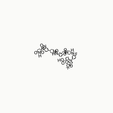 Cn1c(=O)n(C2CCC(=O)NC2=O)c2ccc(C3CCN(C(=O)Nc4cccc(CS(=O)(=O)N5CCC(Nc6cc(-c7sc(C(=O)OC(C)(C)C)c(OCC(=O)O)c7Cl)ccc6F)CC5)c4)CC3)cc21